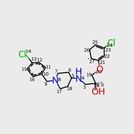 C[C@](O)(CNC1CCN(Cc2ccc(Cl)cc2)CC1)COC1=CC(Cl)=CC[CH]1